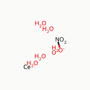 O.O.O.O.O.O=[N+]([O-])[O-].[Ce]